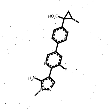 CC1CC1(C(=O)O)c1ccc(-c2cnc(-c3cnn(C)c3N)c(F)c2)cc1